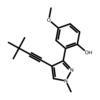 COc1ccc(O)c(-c2nn(C)cc2C#CC(C)(C)C)c1